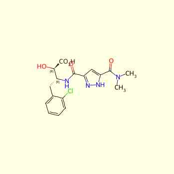 CN(C)C(=O)c1cc(C(=O)N[C@H](Cc2ccccc2Cl)[C@@H](O)C(=O)O)n[nH]1